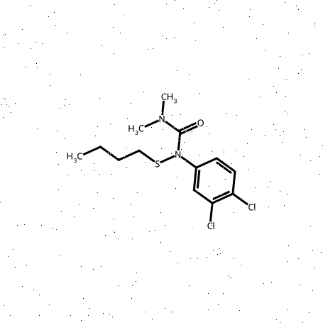 CCCCSN(C(=O)N(C)C)c1ccc(Cl)c(Cl)c1